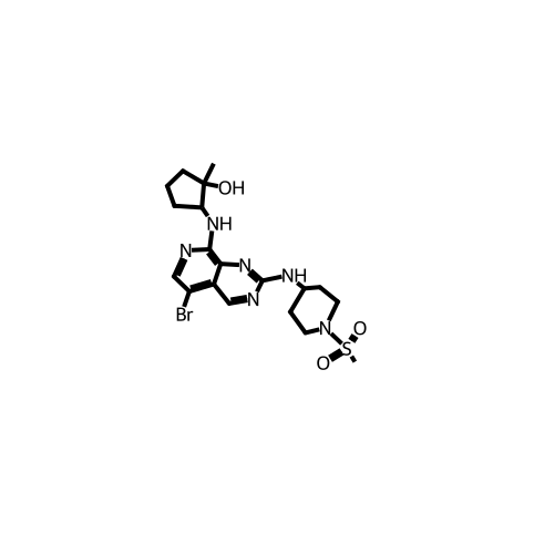 CC1(O)CCCC1Nc1ncc(Br)c2cnc(NC3CCN(S(C)(=O)=O)CC3)nc12